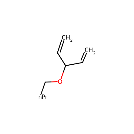 C=CC(C=C)OCCCC